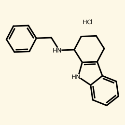 Cl.c1ccc(CNC2CCCc3c2[nH]c2ccccc32)cc1